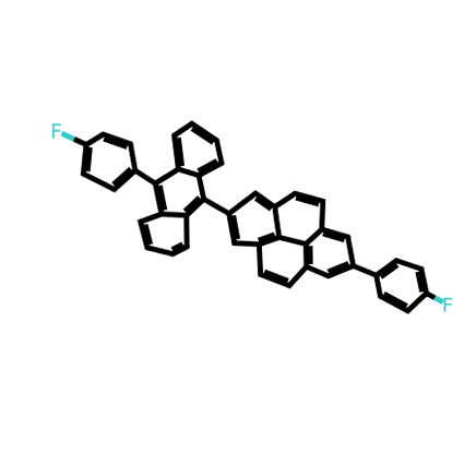 Fc1ccc(-c2cc3ccc4cc(-c5c6ccccc6c(-c6ccc(F)cc6)c6ccccc56)cc5ccc(c2)c3c45)cc1